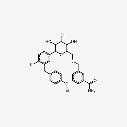 CCOc1ccc(Cc2cc(C3OC(CSCc4cccc(C(N)=O)c4)C(O)C(O)C3O)ccc2Cl)cc1